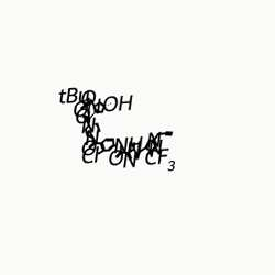 C#CCn1cc(-c2cnc(C(=O)Nc3ccc(C(=O)N4CCN(C(=O)[C@@H]5C[C@@H](O)CN5C(=O)OC(C)(C)C)CC4)c(Cl)c3)n2C)c(C(F)(F)F)n1